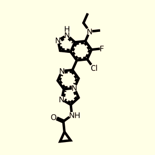 CCN(C)c1c(F)c(Cl)c(-c2cn3cc(NC(=O)C4CC4)nc3cn2)c2cn[nH]c12